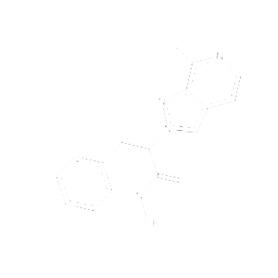 O=C(NO)C(Cc1ccccc1)n1cc2ccnc(Cl)c2n1